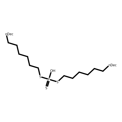 CCCCCCCCCCCCCCCCSP(O)(=S)SCCCCCCCCCCCCCCCC